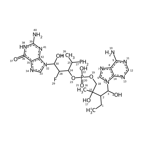 CCC(C(O)n1cnc2c(N)ncnc21)C(C)(O)COP(=O)(O)OC(C(C)P)C(F)C(O)n1cnc2c(=O)[nH]c(N)nc21